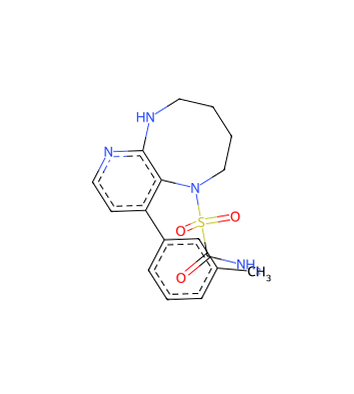 Cc1cccc(-c2ccnc3c2N(S(=O)(=O)C(N)=O)CCCCN3)c1